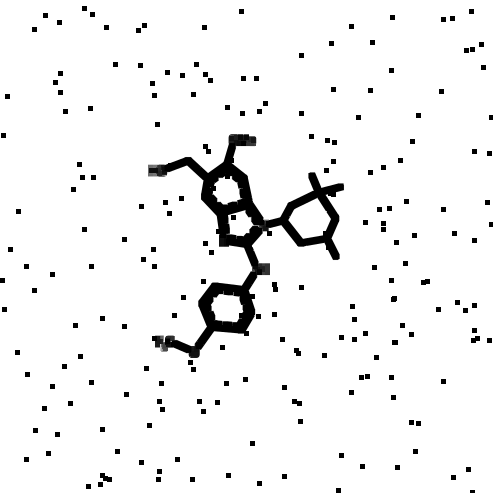 COc1cc2c(cc1CO)nc(Nc1ccc(OC(F)(F)F)cc1)n2C1CC(C)CC(C)(C)C1